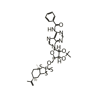 C=C(C)[C@H]1CC[C@@]2(C)SP(=S)(OC[C@H]3O[C@@H](n4cnc5c(NC(=O)c6ccccc6)ncnc54)[C@@H]4OC(C)(C)O[C@@H]43)SC2C1